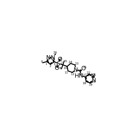 Cc1cc(S(=O)(=O)C(C)(C)C2CCN(C(=O)Nc3ccnnc3)CC2)n(C)n1